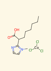 CCCCCCC(C(=O)O)c1nccn1C.[Cl][Co]([Cl])[Cl]